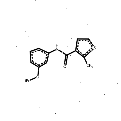 CC(C)Oc1cccc(NC(=O)c2ccsc2C(F)(F)F)c1